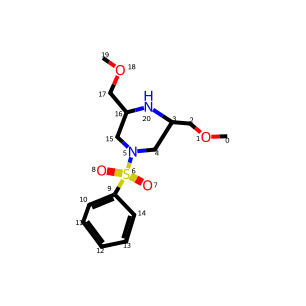 COCC1CN(S(=O)(=O)c2ccccc2)CC(COC)N1